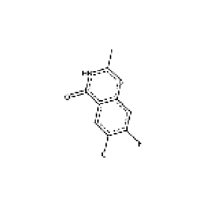 Cc1nc2cc(F)c(Cl)cc2c(=O)[nH]1